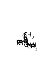 COc1ccc2c(c1)c(-c1cc3cccnc3[nH]1)cn2CC(=O)N(C)Cc1cccnc1